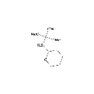 COC(OC)(OC)[SiH2]C1CCCCO1